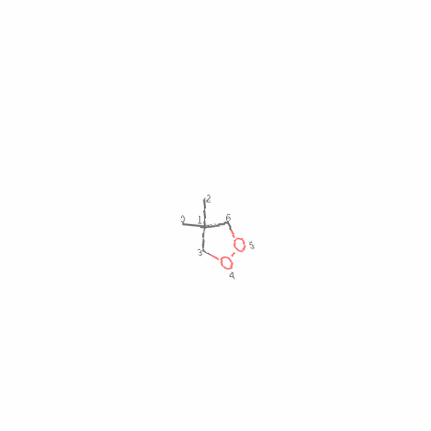 CC1(C)COOC1